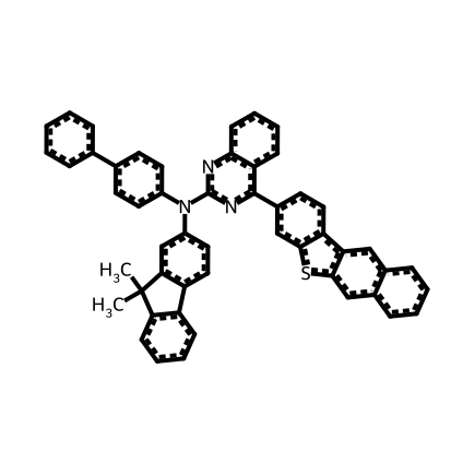 CC1(C)c2ccccc2-c2ccc(N(c3ccc(-c4ccccc4)cc3)c3nc(-c4ccc5c(c4)sc4cc6ccccc6cc45)c4ccccc4n3)cc21